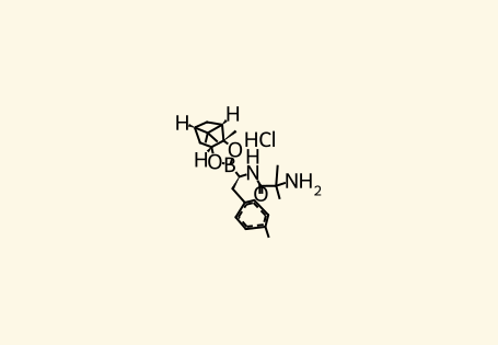 Cc1ccc(C[C@H](NC(=O)C(C)(C)N)B2O[C@@H]3C[C@@H]4C[C@@H](C4(C)C)[C@]3(C)O2)cc1.Cl